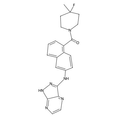 CC1(F)CCN(C(=O)c2cccc3cc(Nc4n[nH]c5nccnc45)ccc23)CC1